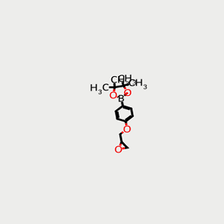 CC1(C)OB(c2ccc(OCC3CO3)cc2)OC1(C)C